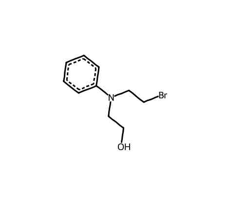 OCCN(CCBr)c1ccccc1